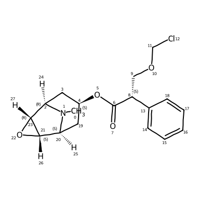 CN1[C@@H]2C[C@@H](OC(=O)[C@H](COCCl)c3ccccc3)C[C@H]1[C@@H]1O[C@@H]12